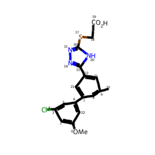 COc1cc(Cl)cc(-c2cc(C)cc(-c3nnc(SCC(=O)O)[nH]3)c2)c1